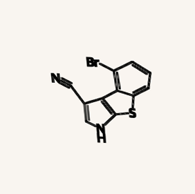 N#Cc1c[nH]c2sc3cccc(Br)c3c12